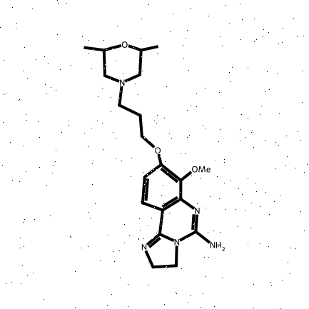 COc1c(OCCCN2CC(C)OC(C)C2)ccc2c1N=C(N)N1CCN=C21